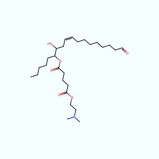 CCCCCC(OC(=O)CCCC(=O)OCCN(C)C)C(O)C/C=C\CCCCCCCC=O